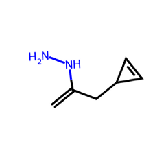 C=C(CC1C=C1)NN